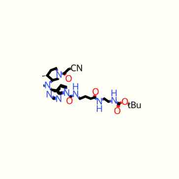 C[C@@H]1CCN(C(=O)CC#N)CC1N(C)c1ncnc2c1ccn2C(=O)NCCCC(=O)NCCNC(=O)OC(C)(C)C